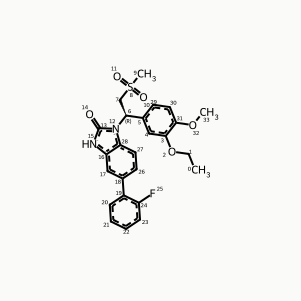 CCOc1cc([C@H](CS(C)(=O)=O)n2c(=O)[nH]c3cc(-c4ccccc4F)ccc32)ccc1OC